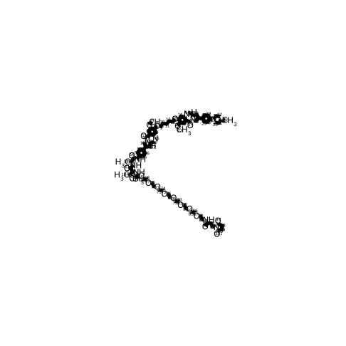 COc1cc2c(cc1OCCCCCOc1cc3c(cc1OC)C(=O)N1C=C(c4ccc(N5CCN(C)CC5)cc4)C[C@H]1C=N3)N=C[C@@H]1CC(c3ccc(NC(=O)[C@H](C)NC(=O)[C@@H](NC(=O)OCCOCCOCCOCCOCCOCCOCCOCCNC(=O)CCN4C(=O)C=CC4=O)C(C)C)cc3)=CN1C2=O